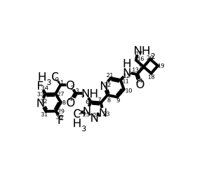 C[C@@H](OC(=O)Nc1c(-c2ccc(NC(=O)C3(CN)CCC3)cn2)nnn1C)c1cc(F)cnc1F